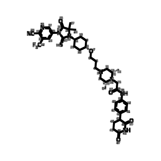 C[C@@H]1CN(CCCO[C@H]2CC[C@H](N3C(=S)N(c4cnc(C#N)c(C(F)(F)F)c4)C(=O)C3(C)C)CC2)C[C@H](C)N1CC(=O)Nc1ccc(C2CCC(=O)NC2=O)cc1